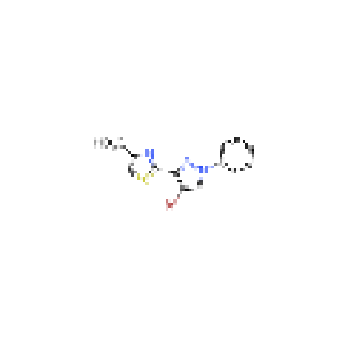 O=C(O)c1csc(-c2nn(-c3ccccc3)cc2Br)n1